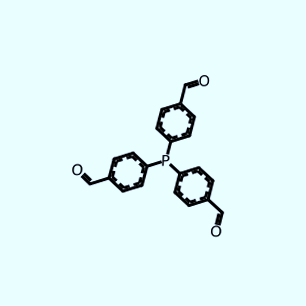 O=Cc1ccc(P(c2ccc(C=O)cc2)c2ccc(C=O)cc2)cc1